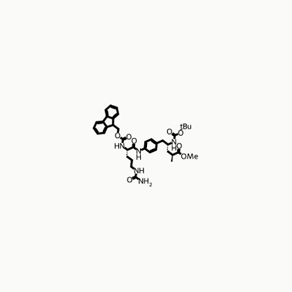 COC(=O)[C@@H](C)C[C@H](Cc1ccc(NC(=O)[C@H](CCCNC(N)=O)NC(=O)OCC2c3ccccc3-c3ccccc32)cc1)NC(=O)OC(C)(C)C